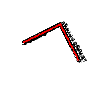 [O-2].[O-2].[O-2].[O-2].[O-2].[O-2].[O-2].[O-2].[O-2].[O-2].[O-2].[O-2].[O-2].[O-2].[O-2].[O-2].[O-2].[O-2].[O-2].[O-2].[O-2].[O-2].[O-2].[O-2].[O-2].[O-2].[O-2].[O-2].[O-2].[O-2].[O-2].[O-2].[O-2].[O-2].[O-2].[O-2].[O-2].[O-2].[O-2].[O-2].[O-2].[O-2].[O-2].[O-2].[O-2].[O-2].[O-2].[O-2].[O-2].[O-2].[O-2].[O-2].[O-2].[O-2].[O-2].[Sr+2].[Sr+2].[Sr+2].[Sr+2].[Sr+2].[Sr+2].[Sr+2].[Sr+2].[Sr+2].[Sr+2].[Sr+2].[Sr+2].[Sr+2].[Sr+2].[Sr+2].[Sr+2].[Sr+2].[Sr+2].[Sr+2].[Sr+2].[Sr+2].[Sr+2].[Sr+2].[Sr+2].[Sr+2].[Sr+2].[Sr+2].[Sr+2].[Sr+2].[Sr+2].[Sr+2].[Sr+2].[Sr+2].[Sr+2].[Sr+2].[Sr+2].[Sr+2].[Sr+2].[Sr+2].[Sr+2]